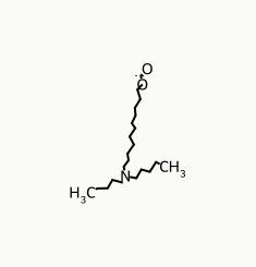 CCCCCN(CCCCC)CCCCCCCCCCCO[C]=O